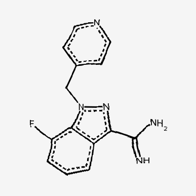 N=C(N)c1nn(Cc2ccncc2)c2c(F)cccc12